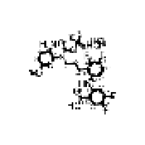 COc1ccc(N)c(N(CCCc2c(Nc3cc(F)c(F)cc3C(=O)O)ccc(F)c2F)C(=O)OC(C)(C)C)n1.Cl.Cl